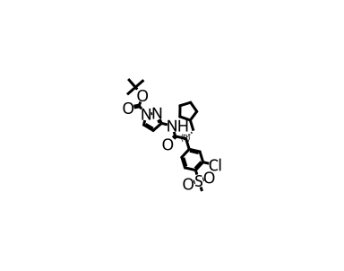 CC(C)(C)OC(=O)n1ccc(NC(=O)[C@H](CC2CCCC2)c2ccc(S(C)(=O)=O)c(Cl)c2)n1